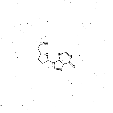 COCC1CCC(N2C=NC3C(=O)N=CNC32)O1